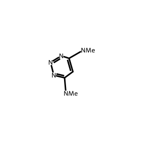 CNc1cc(NC)nnn1